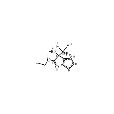 CCOC(=O)C(O)(c1cccs1)C(F)(F)F